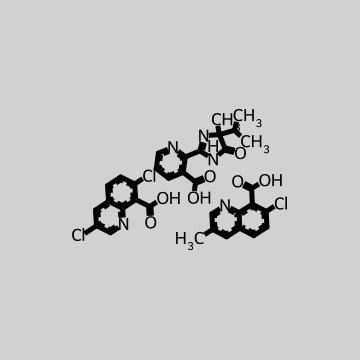 CC(C)C1(C)N=C(c2ncccc2C(=O)O)NC1=O.Cc1cnc2c(C(=O)O)c(Cl)ccc2c1.O=C(O)c1c(Cl)ccc2cc(Cl)cnc12